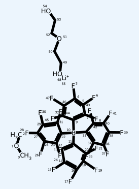 COC.Fc1c(F)c(F)c([B-](c2c(F)c(F)c(F)c(F)c2F)(c2c(F)c(F)c(F)c(F)c2F)c2c(F)c(F)c(F)c(F)c2F)c(F)c1F.OCCOCCO.[Li+]